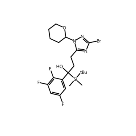 CC(C)(C)[Si](C)(C)C(O)(CCc1nc(Br)nn1C1CCCCO1)c1cc(F)cc(F)c1F